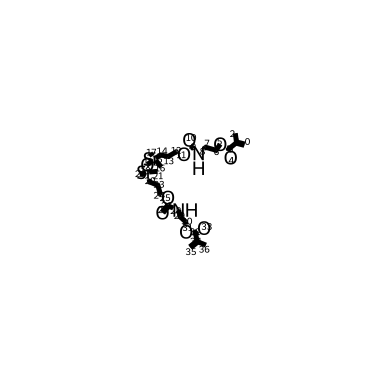 C=C(C)C(=O)OCCNC(=O)OCCC[Si](C)(C)O[Si](C)(C)CCCOC(=O)NCCOC(=O)C(=C)C